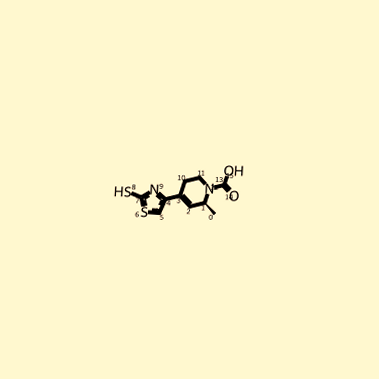 C[C@H]1C=C(c2csc(S)n2)CCN1C(=O)O